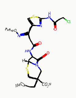 COCC1(C(=O)O)CS[C@@H]2C(NC(=O)C(=NOC)c3csc(NC(=O)CCl)n3)C(=O)N2C1